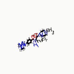 CCC[C@H](NC(=O)c1ccc(-n2ccnn2)cc1)C(=O)N1CCN(C)CC1